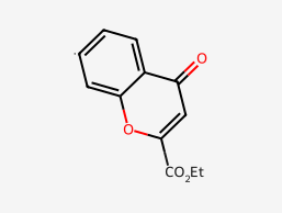 CCOC(=O)c1cc(=O)c2cc[c]cc2o1